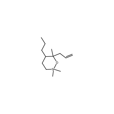 C=CCC1(C)O[Si](C)(C)CCC1CCC